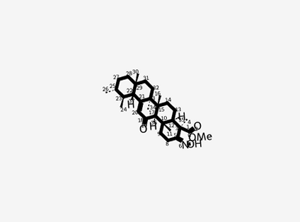 COC(=O)[C@@]1(C)/C(=N\O)CC[C@@]2(C)[C@H]1CC[C@]1(C)[C@@H]2C(=O)C=C2[C@@H]3[C@@H](C)[C@H](C)CC[C@]3(C)CC[C@]21C